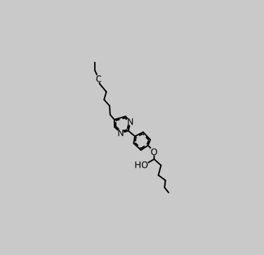 CCCCCCCCc1cnc(-c2ccc(OC(O)CCCCC)cc2)nc1